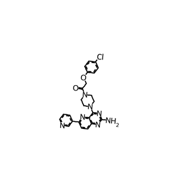 Nc1nc(N2CCN(C(=O)COc3ccc(Cl)cc3)CC2)c2nc(-c3cccnc3)ccc2n1